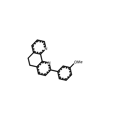 COc1cccc(-c2ccc3c(n2)-c2ncccc2CC3)c1